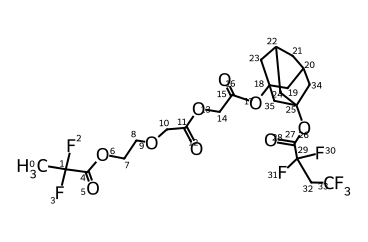 CC(F)(F)C(=O)OCCOCC(=O)OCC(=O)OC12CC3CC(C1)CC(OC(=O)C(F)(F)CC(F)(F)F)(C3)C2